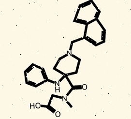 CN(CC(=O)O)C(=O)C1(Nc2ccccc2)CCN(Cc2cccc3ccccc23)CC1